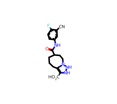 N#Cc1cc(NC(=O)C2CCCC3=C(C(=O)O)NNN3CC2)ccc1F